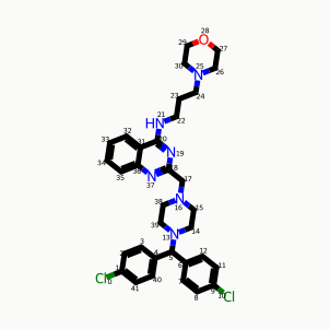 Clc1ccc(C(c2ccc(Cl)cc2)N2CCN(Cc3nc(NCCCN4CCOCC4)c4ccccc4n3)CC2)cc1